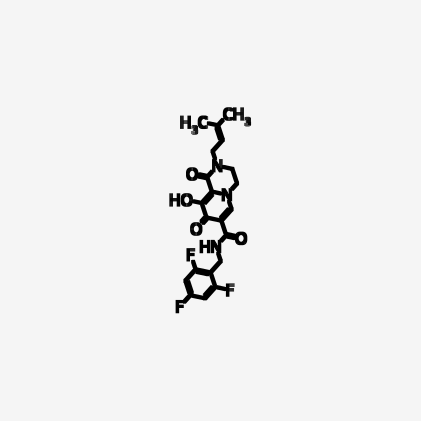 CC(C)=CCN1CCn2cc(C(=O)NCc3c(F)cc(F)cc3F)c(=O)c(O)c2C1=O